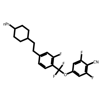 CCCC1CCC(CCc2ccc(C(F)(F)Oc3cc(F)c(C#N)c(F)c3)c(F)c2)CC1